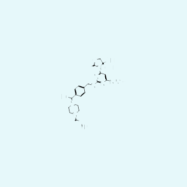 CCC(c1ccc(CNc2nc(NC)cc(N3C(=O)OCC3(C)C)n2)cc1)N1CCN(C(=O)OC(C)(C)C)CC1